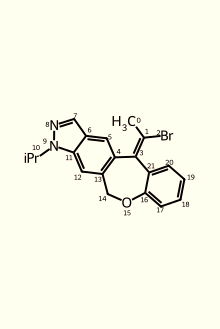 C/C(Br)=C1\c2cc3cnn(C(C)C)c3cc2COc2ccccc21